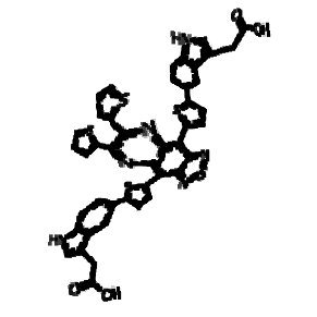 O=C(O)Cc1c[nH]c2ccc(-c3ccc(-c4c5nsnc5c(-c5ccc(-c6ccc7[nH]cc(CC(=O)O)c7c6)s5)c5nc(-c6cccs6)c(-c6cccs6)nc45)s3)cc12